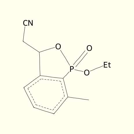 CCOP1(=O)OC(CC#N)c2cccc(C)c21